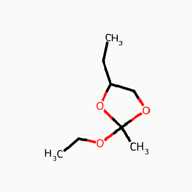 CCOC1(C)OCC(CC)O1